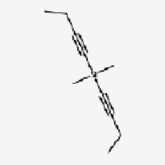 CCC#C[Si](C)(C)C#CCC